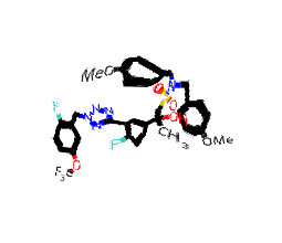 COc1ccc(CN(Cc2ccc(OC)cc2)S(=O)(=O)CC(C)(O)c2ccc(F)c(-c3nnn(Cc4cc(OC(F)(F)F)ccc4F)n3)c2)cc1